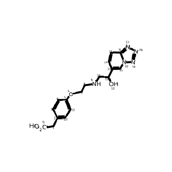 O=C(O)Cc1ccc(OCCNCC(O)c2ccc3nnnn3c2)cc1